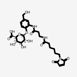 O=C(CCCCCN1C(=O)C=CC1=O)NCCC(=O)Nc1cc(CO)ccc1O[C@@H]1O[C@H](C(=O)O)[C@@H](O)[C@H](O)[C@H]1O